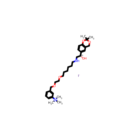 CC1(C)OCc2cc([C@H](O)CNCCCCCCOCCOCc3cccc([N+](C)(C)C)c3)ccc2O1.[I-]